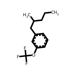 CCCC(C)Cc1cccc(OC(F)(F)F)c1